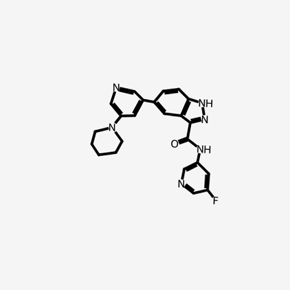 O=C(Nc1cncc(F)c1)c1n[nH]c2ccc(-c3cncc(N4CCCCC4)c3)cc12